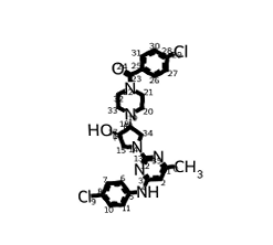 Cc1cc(Nc2ccc(Cl)cc2)nc(N2C[C@@H](O)[C@H](N3CCN(C(=O)c4ccc(Cl)cc4)CC3)C2)n1